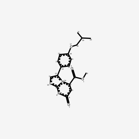 COC(=O)c1cc(=O)nc2scc(-c3ccc(OCC(C)C)cc3)n12